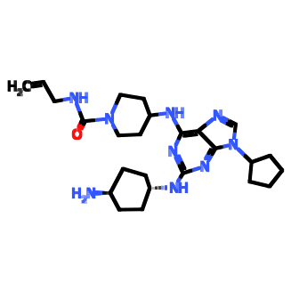 C=CCNC(=O)N1CCC(Nc2nc(N[C@H]3CC[C@H](N)CC3)nc3c2ncn3C2CCCC2)CC1